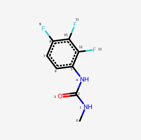 CNC(=O)Nc1ccc(F)c(F)c1F